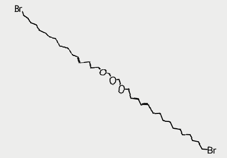 BrCCCCCCCCCCCC=CCCCOCOCOCCCC=CCCCCCCCCCCCBr